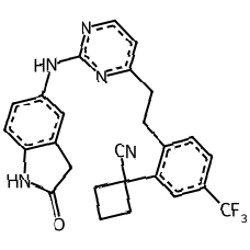 N#CC1(c2cc(C(F)(F)F)ccc2CCc2ccnc(Nc3ccc4c(c3)CC(=O)N4)n2)CCC1